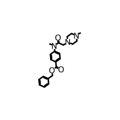 CN1CCN(CC(=O)N(C)c2ccc(C(=O)OCc3ccccc3)cc2)CC1